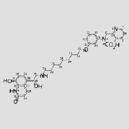 O=C(O)N(Cc1ccccn1)c1cccc(OCCCCCCCCCNC[C@H](O)c2ccc(O)c3[nH]c(=O)ccc23)c1